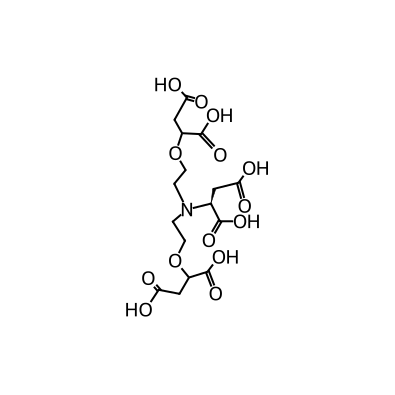 O=C(O)CC(OCCN(CCOC(CC(=O)O)C(=O)O)[C@@H](CC(=O)O)C(=O)O)C(=O)O